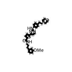 COc1cccc(CCCNC(=O)c2ccc(-c3ccnc(Nc4ccc(CCN5CCOCC5)cc4)n3)s2)c1